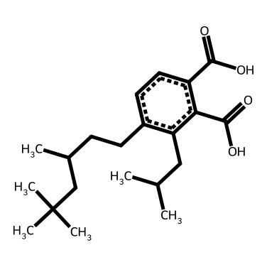 CC(C)Cc1c(CCC(C)CC(C)(C)C)ccc(C(=O)O)c1C(=O)O